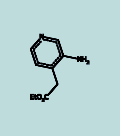 CCOC(=O)Cc1ccncc1N